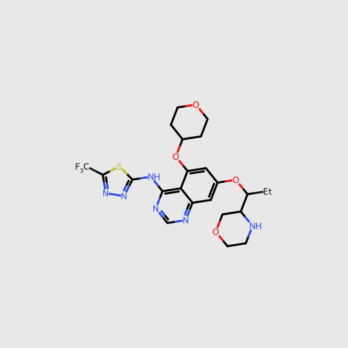 CCC(Oc1cc(OC2CCOCC2)c2c(Nc3nnc(C(F)(F)F)s3)ncnc2c1)C1COCCN1